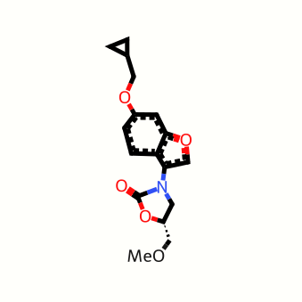 COC[C@H]1CN(c2coc3cc(OCC4CC4)ccc23)C(=O)O1